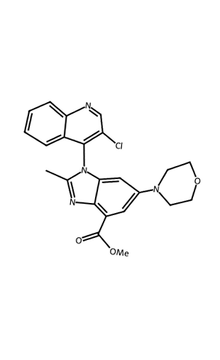 COC(=O)c1cc(N2CCOCC2)cc2c1nc(C)n2-c1c(Cl)cnc2ccccc12